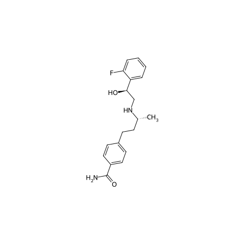 C[C@H](CCc1ccc(C(N)=O)cc1)NC[C@@H](O)c1ccccc1F